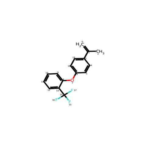 C=C(C)c1ccc(Oc2ccccc2C(F)(F)F)cc1